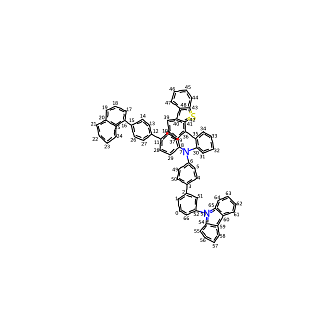 c1cc(-c2ccc(N(c3ccc(-c4ccc(-c5cccc6ccccc56)cc4)cc3)c3ccccc3-c3cccc4c3sc3ccccc34)cc2)cc(-n2c3ccccc3c3ccccc32)c1